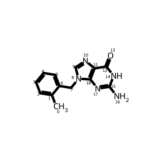 Cc1ccccc1Cn1cnc2c(=O)[nH]c(N)nc21